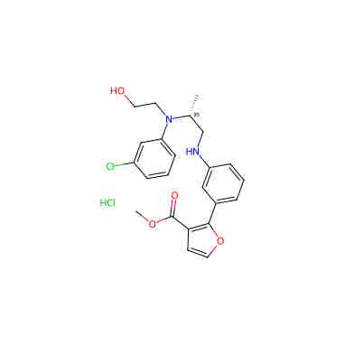 COC(=O)c1ccoc1-c1cccc(NC[C@@H](C)N(CCO)c2cccc(Cl)c2)c1.Cl